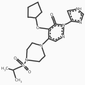 CC(C)S(=O)(=O)N1CCN(c2cnn(-c3c[nH]cn3)c(=O)c2OC2CCCC2)CC1